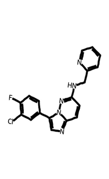 Fc1ccc(-c2cnc3ccc(NCc4ccccn4)nn23)cc1Cl